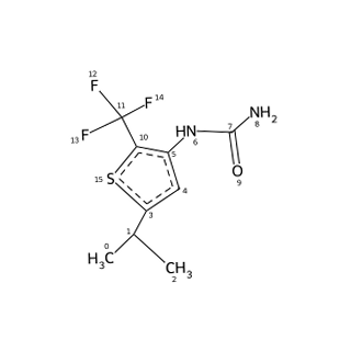 CC(C)c1cc(NC(N)=O)c(C(F)(F)F)s1